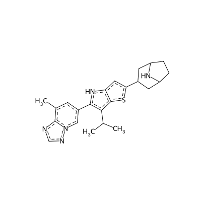 Cc1cc(-c2[nH]c3cc(C4CC5CCC(C4)N5)sc3c2C(C)C)cn2ncnc12